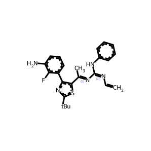 C=C/N=C(\N=C(/C)c1sc(C(C)(C)C)nc1-c1cccc(N)c1F)Nc1ccccc1